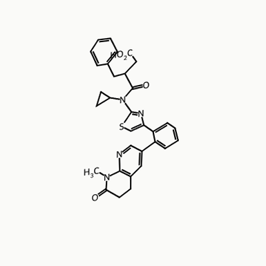 CN1C(=O)CCc2cc(-c3ccccc3-c3csc(N(C(=O)C(CC(=O)O)Cc4ccccc4)C4CC4)n3)cnc21